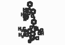 COc1ccc([C@H](Cc2c(Cl)c[n+]([O-])cc2Cl)C2C(C(=O)O)CN2C(=O)c2ccc(COc3cccc([C@@H](NC(=O)O[C@H]4CN5CCC4CC5)c4ccccc4)c3)cc2)cc1OC